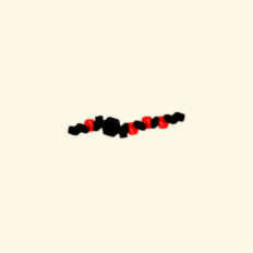 CCCCOC=C(C)c1ccc(C(C)=COCCOCCOCCCC)cc1